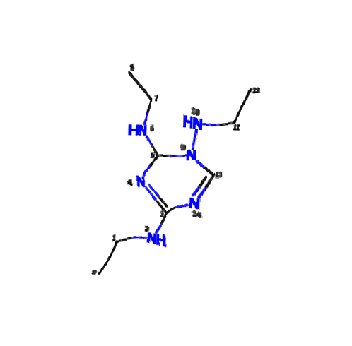 CCNC1=NC(NCC)N(NCC)C=N1